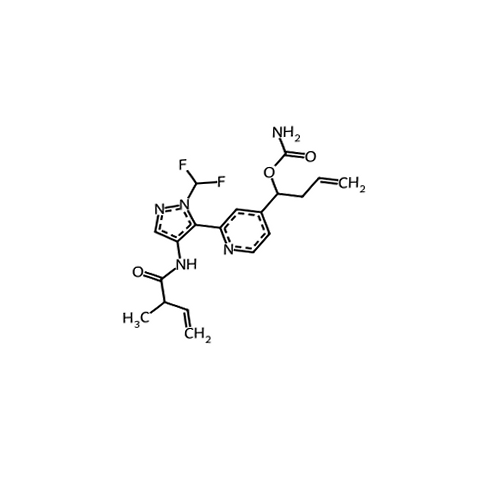 C=CCC(OC(N)=O)c1ccnc(-c2c(NC(=O)C(C)C=C)cnn2C(F)F)c1